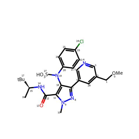 COCc1cncc(-c2nn(C)c(C(=O)N[C@@H](C)C(C)(C)C)c2N(c2ccc(Cl)cc2)S(=O)(=O)O)c1